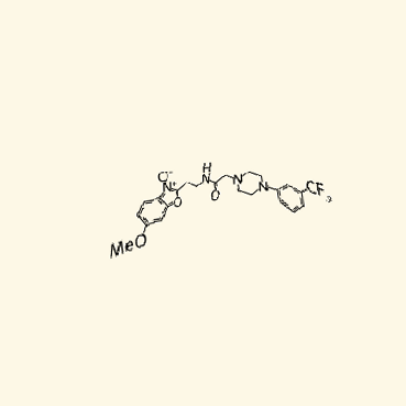 COc1ccc2c(c1)oc(CCNC(=O)CN1CCN(c3cccc(C(F)(F)F)c3)CC1)[n+]2[O-]